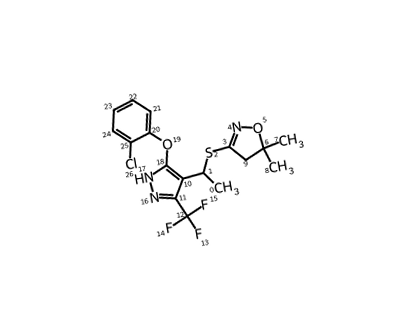 CC(SC1=NOC(C)(C)C1)c1c(C(F)(F)F)n[nH]c1Oc1ccccc1Cl